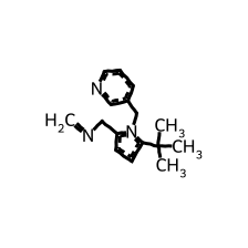 C=NCc1ccc(C(C)(C)C)n1Cc1cccnc1